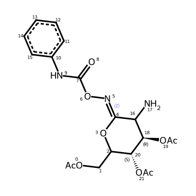 CC(=O)OCC1O/C(=N\OC(=O)Nc2ccccc2)C(N)[C@@H](OC(C)=O)[C@@H]1OC(C)=O